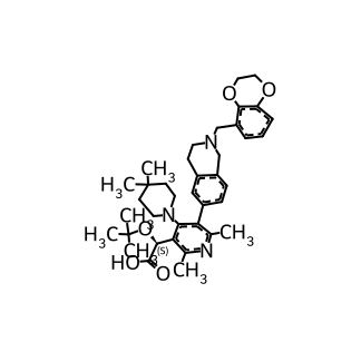 Cc1nc(C)c([C@H](OC(C)(C)C)C(=O)O)c(N2CCC(C)(C)CC2)c1-c1ccc2c(c1)CCN(Cc1cccc3c1OCCO3)C2